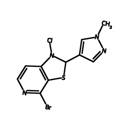 Cn1cc(C2Sc3c(ccnc3Br)N2Cl)cn1